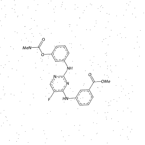 CNC(=O)Oc1cccc(Nc2ncc(F)c(Nc3cccc(C(=O)OC)c3)n2)c1